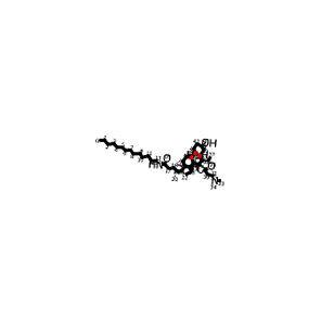 CCCCCCCCCCCCCCNC(=O)CC[C@@H](C)[C@H]1CC[C@H]2[C@@H]3[C@H](OC(=O)CCN(C)C)[C@H](CC)[C@@H]4C[C@H](O)CC[C@]4(C)[C@H]3CC[C@]12C